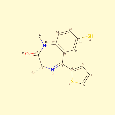 CC1N=C(c2cccs2)c2cc(S)ccc2N(C)C1=O